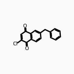 O=C1C=C(Cl)C(=O)c2ccc(Cc3ccccc3)cc21